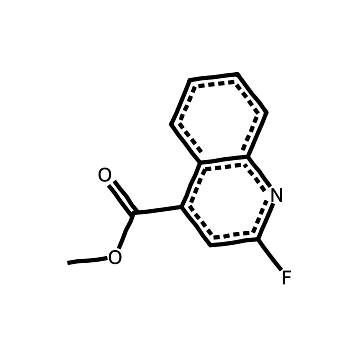 COC(=O)c1cc(F)nc2ccccc12